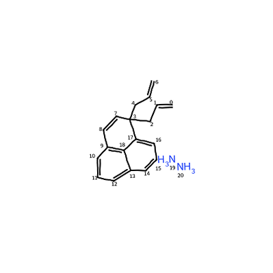 C=CCC1(CC=C)C=Cc2cccc3cccc1c23.N.N